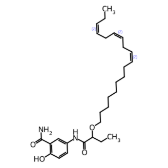 CC/C=C\C/C=C\C/C=C\CCCCCCCCOC(CC)C(=O)Nc1ccc(O)c(C(N)=O)c1